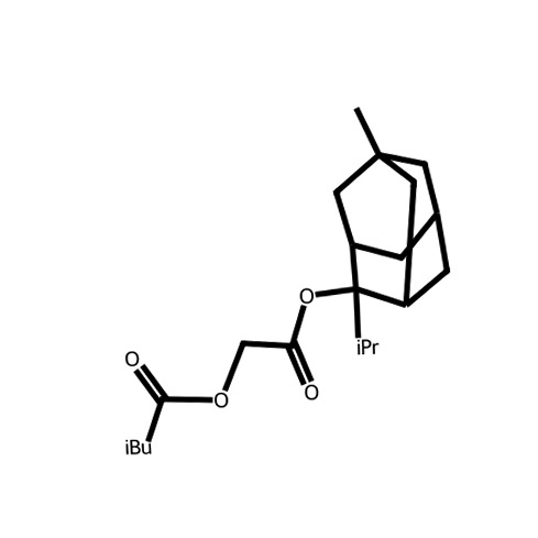 CCC(C)C(=O)OCC(=O)OC1(C(C)C)C2CC3CC1CC(C)(C3)C2